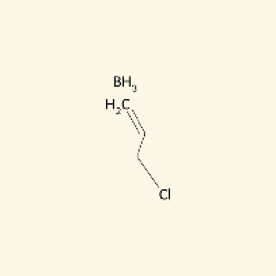 B.C=CCCl